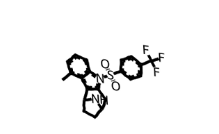 Cc1cccc2c1c1c(n2S(=O)(=O)c2ccc(C(F)(F)F)cc2)CC2CCC1N2